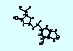 CC(CC1CC(=O)N(C(C)C)C1)c1cc(F)c2c(c1)COC2